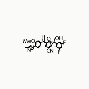 COc1cc(Nc2cc(C#N)cn([C@@H](CO)c3cc(F)cc(F)c3)c2=O)ccc1-n1cnc(C)c1